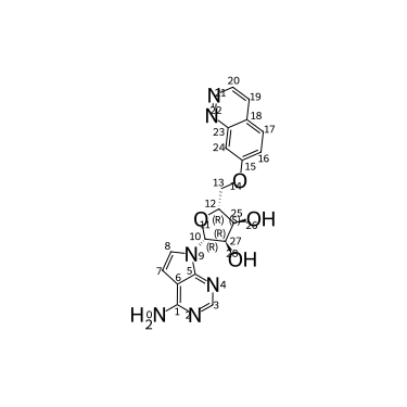 Nc1ncnc2c1ccn2[C@@H]1O[C@H](COc2ccc3ccnnc3c2)[C@@H](O)[C@H]1O